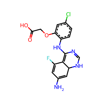 NC1=CC2NC=NC(Nc3ccc(Cl)cc3OCC(=O)O)=C2C(F)=C1